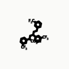 CCOC(=O)C(CC(CCc1cccc(C(F)(F)F)c1)c1cccc(C(F)(F)F)c1)c1cccc(C(F)(F)F)c1